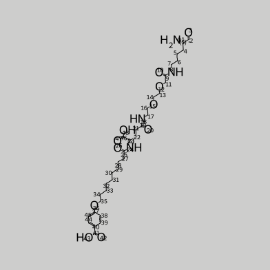 N[C@H]([C]=O)CCCCNC(=O)COCCOCCNC(=O)CC[C@H](NC(=O)CCCCCCCCCOc1ccc(C(=O)O)cc1)C(=O)O